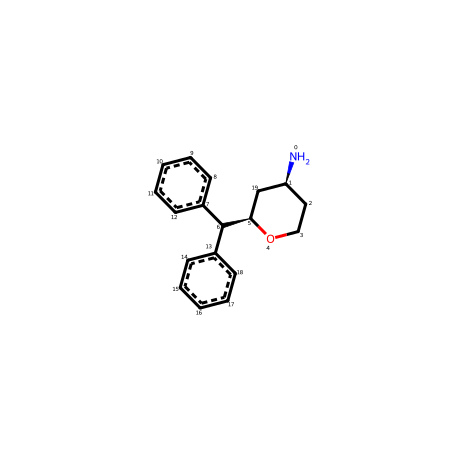 N[C@H]1CCO[C@@H](C(c2ccccc2)c2ccccc2)C1